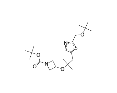 CC(C)(C)OCc1ncc(CC(C)(C)OC2CN(C(=O)OC(C)(C)C)C2)s1